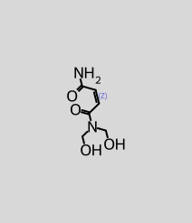 NC(=O)/C=C\C(=O)N(CO)CO